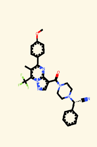 COc1ccc(-c2nc3c(C(=O)N4CCN([C@H](C#N)c5ccccc5)CC4)cnn3c(C(F)(F)F)c2C)cc1